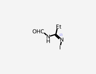 CC/C(=N/I)NC=O